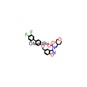 COc1cc(F)c(F)cc1-c1ccc(OCc2ccc3onc(N(CC4CCOCC4)C(=O)OC(C)(C)C)c3c2)cc1